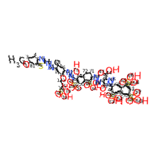 COc1ccc2nc(N=Nc3cc(OCCCS(=O)(=O)O)c(N=Nc4c(S(=O)(=O)O)cc5c(S(=O)(=O)O)c(N=Nc6c(C(=O)O)nn(-c7cc(S(=O)(=O)O)c8cc(S(=O)(=O)O)cc(S(=O)(=O)O)c8c7)c6O)ccc5c4O)cc3C)sc2c1